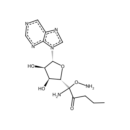 CCCC(=O)C(N)(ON)[C@H]1O[C@@H](n2cnc3cncnc32)[C@H](O)[C@@H]1O